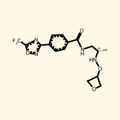 C[C@@H](CNC(=O)c1ccc(-c2noc(C(F)(F)F)n2)cc1)NOC1COC1